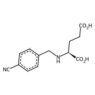 N#Cc1ccc(CN[C@@H](CCC(=O)O)C(=O)O)cc1